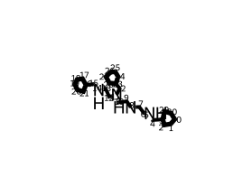 c1ccc(CNCCNCCN(CCNCc2ccccc2)Cc2ccccc2)cc1